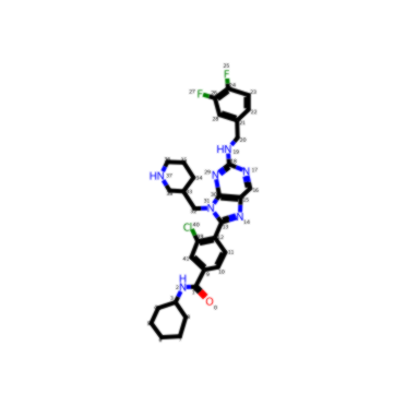 O=C(NC1CCCCC1)c1ccc(-c2nc3cnc(NCc4ccc(F)c(F)c4)nc3n2CC2CCCNC2)c(Cl)c1